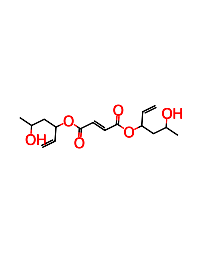 C=CC(CC(C)O)OC(=O)/C=C/C(=O)OC(C=C)CC(C)O